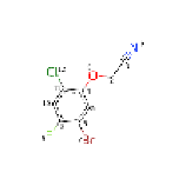 N#CCOc1cc(Br)c(F)cc1Cl